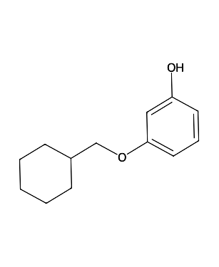 Oc1cccc(OCC2CCCCC2)c1